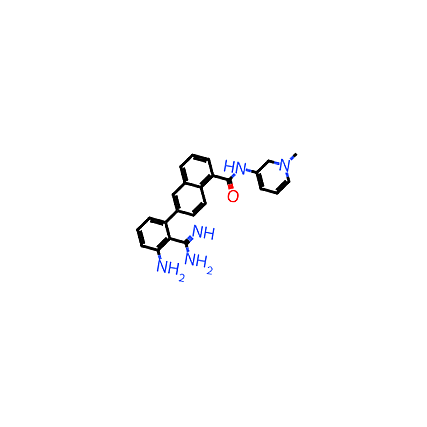 CN1C=CC=C(NC(=O)c2cccc3cc(-c4cccc(N)c4C(=N)N)ccc23)C1